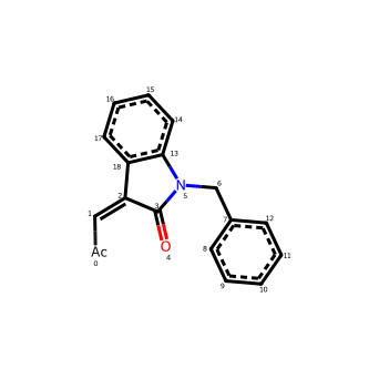 CC(=O)C=C1C(=O)N(Cc2ccccc2)c2ccccc21